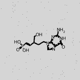 Nc1nc2c(ncn2CCC(/C=C/P(=O)(O)O)CO)c(=O)[nH]1